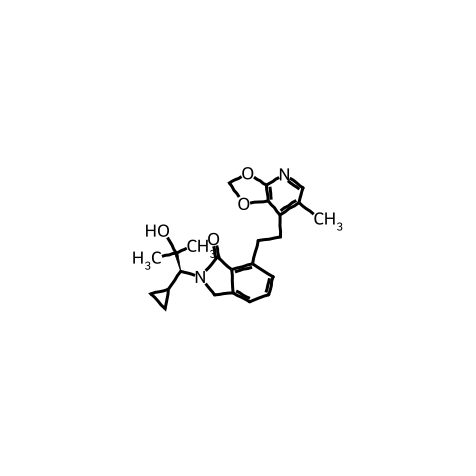 Cc1cnc2c(c1CCc1cccc3c1C(=O)N([C@@H](C1CC1)C(C)(C)O)C3)OCO2